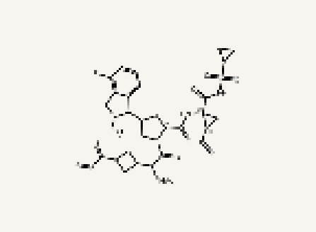 C=CC(=O)N1CC(C(NC(C)=O)C(=O)N2CC(C3c4cccc(F)c4CN3C(=O)O)C[C@H]2C(=O)N[C@]2(C(=O)NS(=O)(=O)C3CC3)C[C@H]2C=C)C1